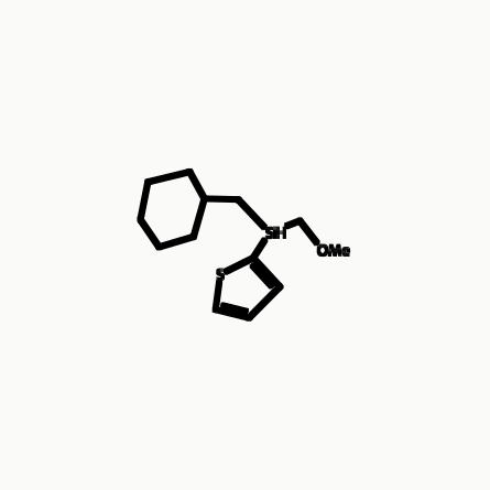 COC[SiH](CC1CCCCC1)c1cccs1